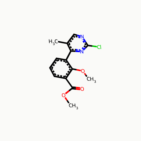 COC(=O)c1cccc(-c2nc(Cl)ncc2C)c1OC